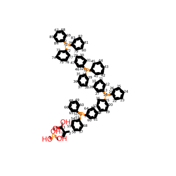 C=C(C)C(=O)O.OP(O)O.c1ccc(P(c2ccccc2)c2ccccc2)cc1.c1ccc(P(c2ccccc2)c2ccccc2)cc1.c1ccc(P(c2ccccc2)c2ccccc2)cc1.c1ccc(P(c2ccccc2)c2ccccc2)cc1